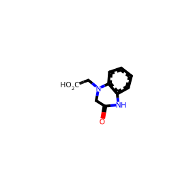 O=C(O)CN1CC(=O)Nc2ccccc21